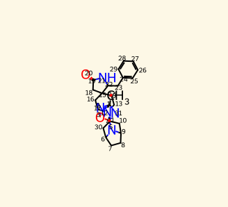 Cc1noc(N2C3CCC2CC(N2CCC4(CC2)CC(=O)NC4Cc2ccccc2)C3)n1